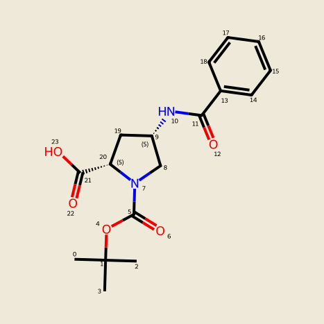 CC(C)(C)OC(=O)N1C[C@@H](NC(=O)c2ccccc2)C[C@H]1C(=O)O